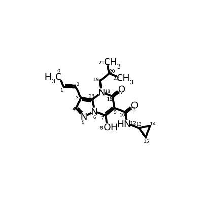 C/C=C/c1cnn2c(O)c(C(=O)NC3CC3)c(=O)n(CC(C)C)c12